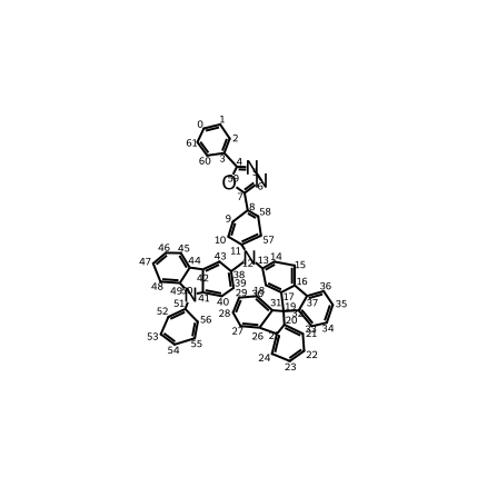 c1ccc(-c2nnc(-c3ccc(N(c4ccc5c(c4)C4(c6ccccc6-c6ccccc64)c4ccccc4-5)c4ccc5c(c4)c4ccccc4n5-c4ccccc4)cc3)o2)cc1